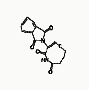 O=C1CCCC/C=C(/N2C(=O)c3ccccc3C2=O)C(=O)N1